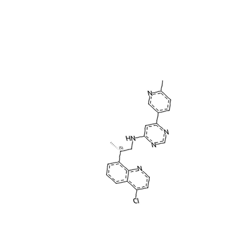 Cc1ccc(-c2cc(NC[C@@H](C)c3cccc4c(Cl)ccnc34)ncn2)cn1